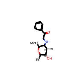 CCC1OC(OC)C(NCC(=O)c2ccccc2)[C@@H](C)[C@@H]1O